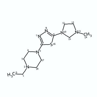 CCN1CCN(c2nnc(N3CCN(C)C3)s2)CC1